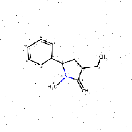 C=C1C(CC)CC(C2C=CC=CC2)N1C